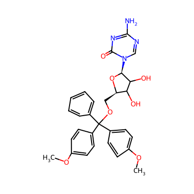 COc1ccc(C(OC[C@H]2O[C@@H](n3cnc(N)nc3=O)C(O)C2O)(c2ccccc2)c2ccc(OC)cc2)cc1